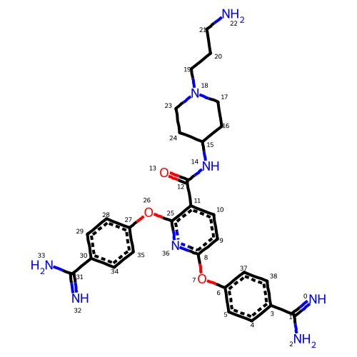 N=C(N)c1ccc(Oc2ccc(C(=O)NC3CCN(CCCN)CC3)c(Oc3ccc(C(=N)N)cc3)n2)cc1